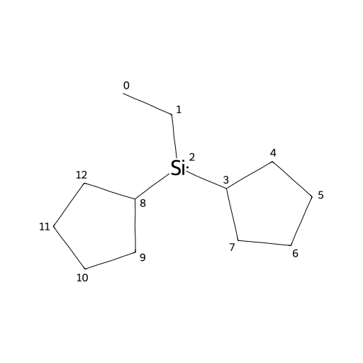 CC[Si](C1CCCC1)C1CCCC1